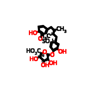 C[C@H](Cc1ccc(O)c(OS(=O)(=O)O)c1)[C@@H](C)Cc1ccc(O[C@@H]2O[C@H](C(=O)O)[C@@H](O)[C@H](O)[C@H]2O)c(O)c1